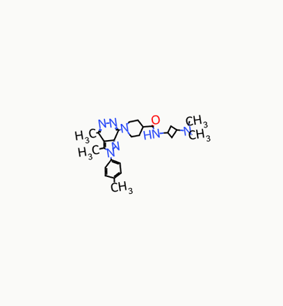 Cc1ccc(-n2nc3c(N4CCC(C(=O)NC5CC(N(C)C)C5)CC4)nnc(C)c3c2C)cc1